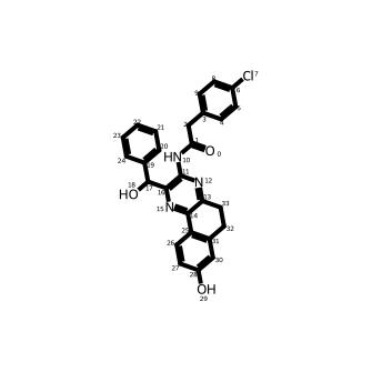 O=C(Cc1ccc(Cl)cc1)Nc1nc2c(nc1C(O)c1ccccc1)-c1ccc(O)cc1CC2